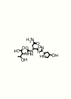 CC(O)[C@H](NC(=O)N[C@@H](CC(N)=O)c1nc([C@@H]2C[C@@H](O)CN2)no1)C(=O)O